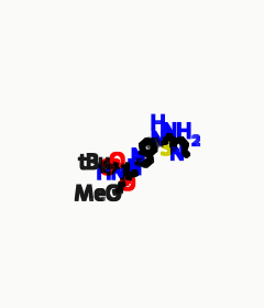 COCCOC1CN(c2ccc3c(n2)CC[C@H](Nc2sc4nc(C)ccc4c2N)C3)CC1NC(=O)OC(C)(C)C